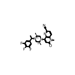 CC(c1cc(F)c(F)c(F)c1)N1C[C@H](C)N(c2cc(=O)n(C)c3ccc(C#N)nc23)C[C@@H]1C